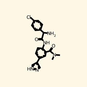 CN(C)C(=O)c1cc(-c2cn[nH]c2)ccc1NC(=O)C(N)c1ccc(Cl)cc1